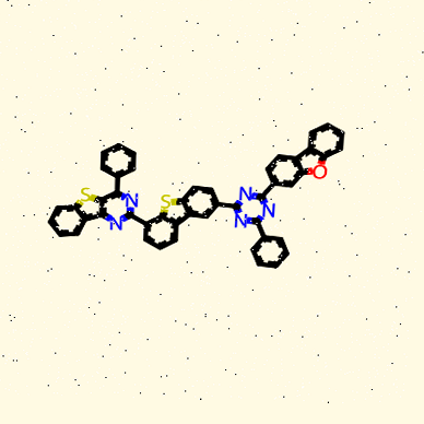 c1ccc(-c2nc(-c3ccc4c(c3)oc3ccccc34)nc(-c3ccc4sc5c(-c6nc(-c7ccccc7)c7sc8ccccc8c7n6)cccc5c4c3)n2)cc1